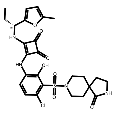 CC[C@@H](Nc1c(Nc2ccc(Cl)c(S(=O)(=O)N3CCC4(CCNC4=O)CC3)c2O)c(=O)c1=O)c1ccc(C)o1